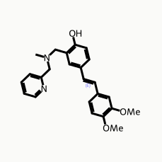 COc1ccc(/C=C/c2ccc(O)c(CN(C)Cc3ccccn3)c2)cc1OC